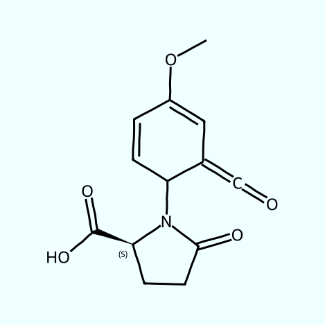 COC1=CC(=C=O)C(N2C(=O)CC[C@H]2C(=O)O)C=C1